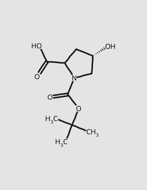 CC(C)(C)OC(=O)N1C[C@@H](O)CC1C(=O)O